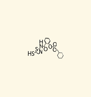 O=C(OCC1CCCCC1)Oc1ccccc1C(=O)NC1=NCC(S)S1